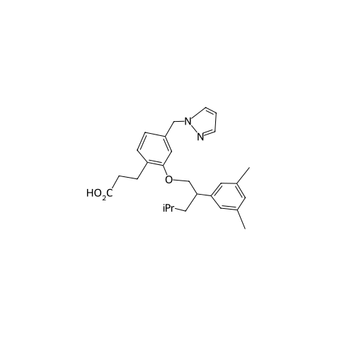 Cc1cc(C)cc(C(COc2cc(Cn3cccn3)ccc2CCC(=O)O)CC(C)C)c1